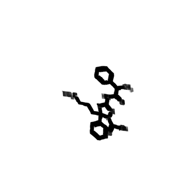 CC(C(=O)NC1=NN(C(=O)C(C)(C)C)C(CCCC(=O)O)(c2ccccc2)S1)c1ccccc1